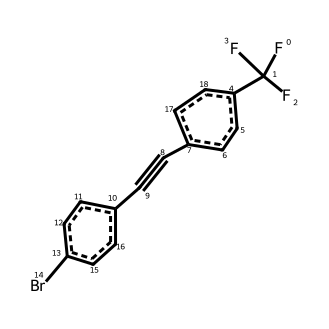 FC(F)(F)c1ccc(C#Cc2ccc(Br)cc2)cc1